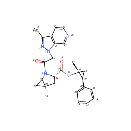 CC(=O)c1nn(CC(=O)N2C3C[C@@H]3C[C@H]2C(=O)N[C@]2(C)C[C@H]2c2ccccc2)c2cnccc12